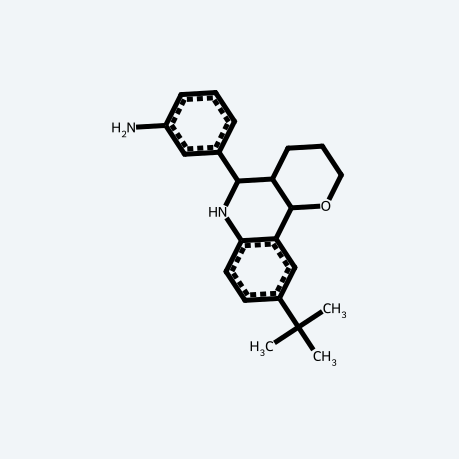 CC(C)(C)c1ccc2c(c1)C1OCCCC1C(c1cccc(N)c1)N2